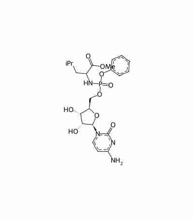 COC(=O)C(CC(C)C)NP(=O)(OC[C@H]1O[C@@H](n2ccc(N)nc2=O)[C@H](O)[C@@H]1O)Oc1ccccc1